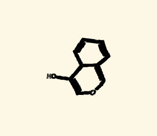 OC1=COC=C2C=CC=CC12